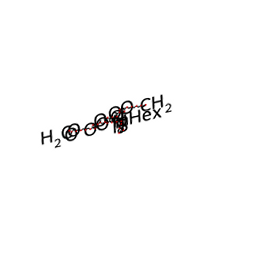 C=CCCCCCCOc1ccc(C(=O)Oc2cc3ccc(OC(=O)c4ccc(OCCCCCCOC(=O)C=C)cc4)cc3cc2/C=N/N(CCCCCC)c2nc3ccccc3s2)cc1